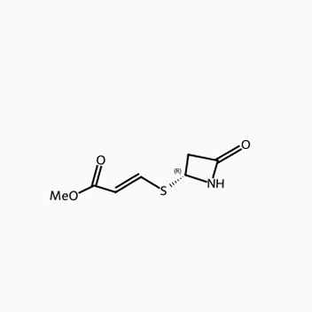 COC(=O)C=CS[C@@H]1CC(=O)N1